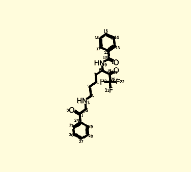 O=C(CNCCCCC(NC(=O)c1ccccc1)C(=O)C(F)(F)F)c1ccccc1